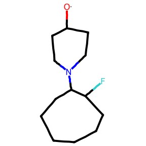 [O]C1CCN(C2CCCCCCC2F)CC1